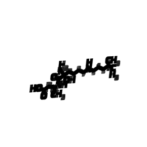 CC(C)CCCNCCCCC(N)(O)C(=O)NN(C)CC(=O)O